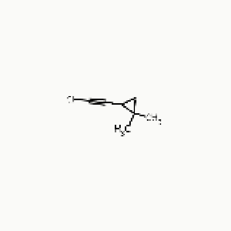 CC1(C)[CH]C1C#CCl